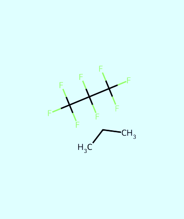 CCC.FC(F)(F)C(F)(F)C(F)(F)F